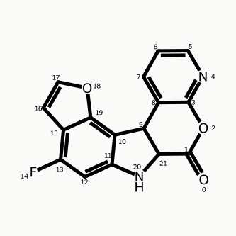 O=C1Oc2ncccc2C2c3c(cc(F)c4ccoc34)NC12